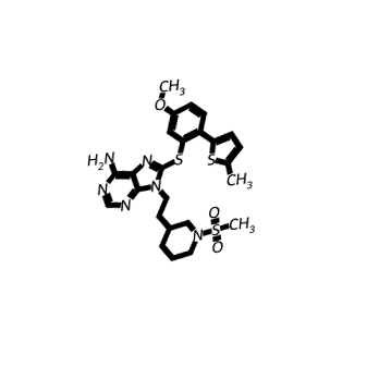 COc1ccc(-c2ccc(C)s2)c(Sc2nc3c(N)ncnc3n2CCC2CCCN(S(C)(=O)=O)C2)c1